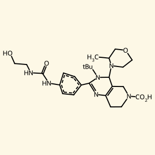 CC1COCCN1C1C2=C(CCN(C(=O)O)C2)N=C(c2ccc(NC(=O)NCCO)cc2)N1C(C)(C)C